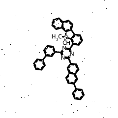 C[Si]1(C)c2c(-c3nc(-c4cccc(-c5ccccc5)c4)nc(-c4ccc5cc(-c6ccccc6)ccc5c4)n3)cccc2-c2ccc3ccccc3c21